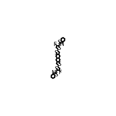 Fc1cc(-c2cc3cc4cc5sc(-c6cc(F)c(-c7nc8ccccc8s7)s6)cc5cc4cc3s2)sc1-c1nc2ccccc2s1